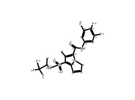 Cc1c(S(=O)(=O)NC(C)C(F)(F)F)c2n(c1C(=O)Nc1cc(F)c(F)c(F)c1)CC=C2